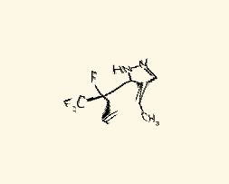 CN1C=NNC1C(F)(F)C(F)(F)F